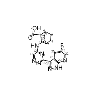 O=C(O)C1C2CCC(CC2)C1Nc1cnnc(-c2n[nH]c3ncc(F)cc23)n1